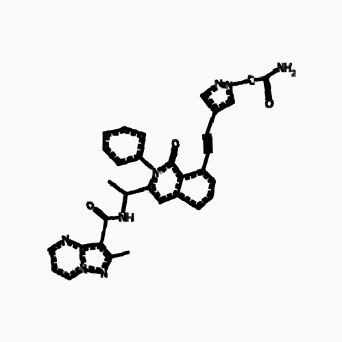 Cc1nn2cccnc2c1C(=O)NC(C)c1cc2cccc(C#Cc3cnn(CC(N)=O)c3)c2c(=O)n1-c1ccccc1